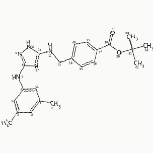 Cc1cc(C)cc(Nc2n[nH]c(NCc3ccc(C(=O)OC(C)(C)C)cc3)n2)c1